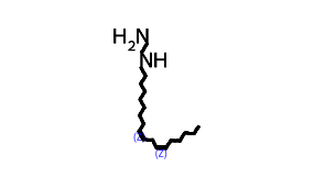 CCCCC/C=C\C/C=C\CCCCCCCCNCCN